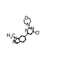 Cn1ncc2ccc(-c3cc(Cl)nc(N4CCOCC4)n3)cc21